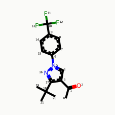 CC(=O)c1cn(-c2ccc(C(F)(F)F)cc2)nc1C(C)(C)C